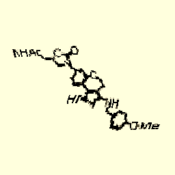 COc1ccc(CNc2n[nH]c3c2CCOc2cc(N4CC(CNC(C)=O)OC4=O)ccc2-3)cc1